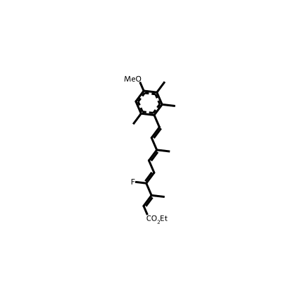 CCOC(=O)/C=C(C)/C(F)=C/C=C(C)/C=C/c1c(C)cc(OC)c(C)c1C